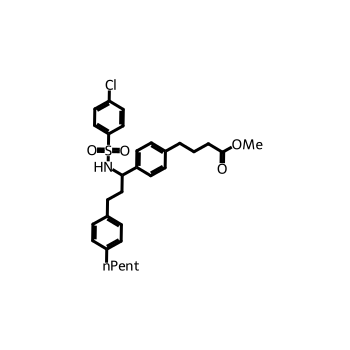 CCCCCc1ccc(CCC(NS(=O)(=O)c2ccc(Cl)cc2)c2ccc(CCCC(=O)OC)cc2)cc1